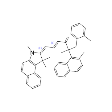 C=C(/C=C/C=C1/N(C)c2ccc3ccccc3c2C1(C)C)C(C)(Cc1ccccc1C)c1c(C)ccc2ccccc12